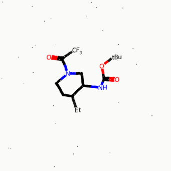 CCC1CCN(C(=O)C(F)(F)F)CC1NC(=O)OC(C)(C)C